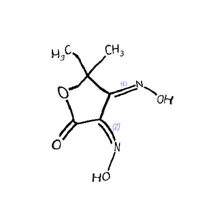 CC1(C)OC(=O)C(=N\O)/C1=N\O